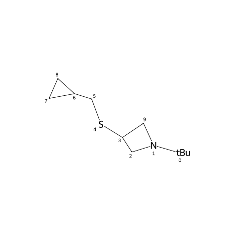 CC(C)(C)N1CC(SCC2CC2)C1